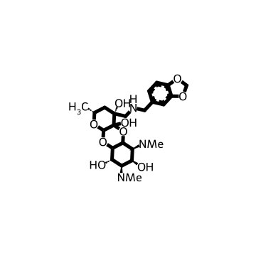 CN[C@@H]1[C@H](O)[C@H](NC)C2OC3(O)C(OC2[C@H]1O)O[C@H](C)C[C@@]3(O)CNCc1ccc2c(c1)OCO2